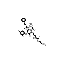 C=CCOC(=O)NCCC[C@H]1C(=O)N(Cc2ccc(F)cc2F)C[C@H]2N1C(=O)CN(C)N2C(=O)NCc1ccccc1